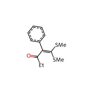 CCC(=O)C(=C(SC)SC)c1ccccc1